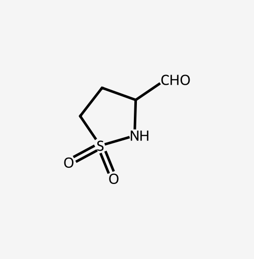 O=CC1CCS(=O)(=O)N1